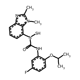 Cc1nc2cccc(N(S)C(=O)Nc3cc(F)ccc3OC(C)C)c2n1C